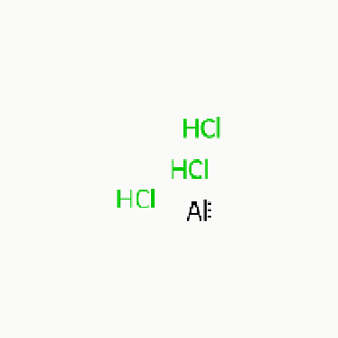 Cl.Cl.Cl.[Al]